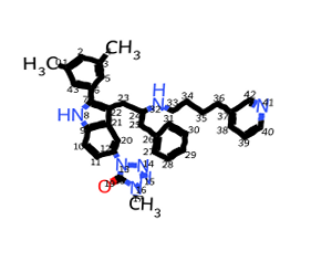 Cc1cc(C)cc(-c2[nH]c3ccc(-n4nnn(C)c4=O)cc3c2CC(Cc2ccccc2)NCCCCc2cccnc2)c1